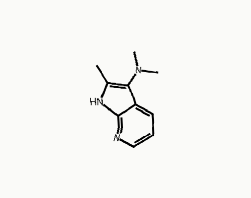 Cc1[nH]c2ncccc2c1N(C)C